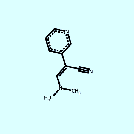 CN(C)C=C(C#N)c1cccnc1